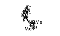 C=Cc1c(C#CCNc2ccc(C(=O)NC)cc2OC)nc2c(N[C@@H]3CCN(C(C)C)C[C@@H]3F)cccn12